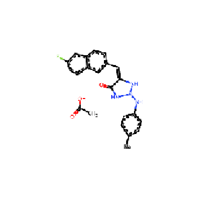 CC(=O)O.O=C1NN(Nc2cc[c]([Na])cc2)NC1=Cc1ccc2cc(F)ccc2c1